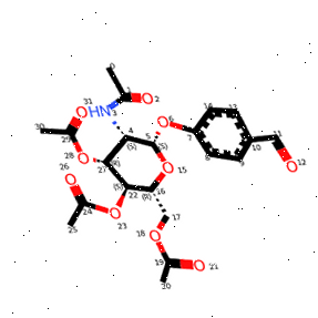 CC(=O)N[C@@H]1[C@H](Oc2ccc(C=O)cc2)O[C@H](COC(C)=O)[C@@H](OC(C)=O)[C@@H]1OC(C)=O